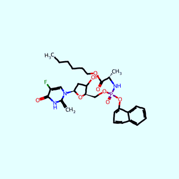 C=C1NC(=O)C(F)=CN1[C@H]1CC(O)[C@@H](COP(=O)(N[C@@H](C)C(=O)OCCCCCC)Oc2cccc3ccccc23)O1